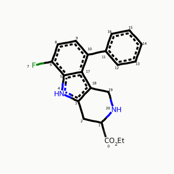 CCOC(=O)C1Cc2[nH]c3c(F)ccc(-c4ccccc4)c3c2CN1